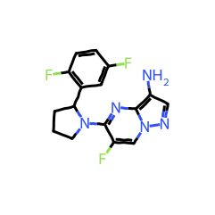 Nc1cnn2cc(F)c(N3CCCC3c3cc(F)ccc3F)nc12